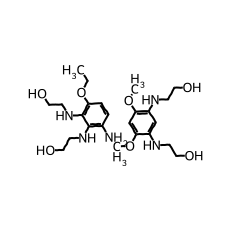 CCOc1ccc(N)c(NCCO)c1NCCO.COc1cc(OC)c(NCCO)cc1NCCO